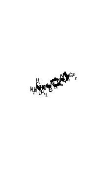 C/C(=N\OCC(=O)N1CCN(c2ncc(C(F)(F)F)cn2)CC1)[C@H](C)N